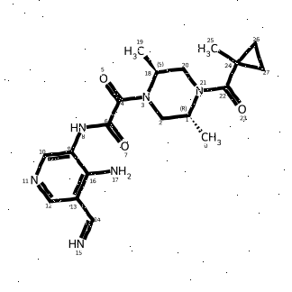 C[C@@H]1CN(C(=O)C(=O)Nc2cncc(C=N)c2N)[C@@H](C)CN1C(=O)C1(C)CC1